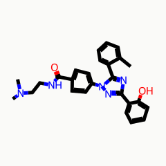 Cc1ccccc1-c1nc(-c2ccccc2O)nn1-c1ccc(C(=O)NCCN(C)C)cc1